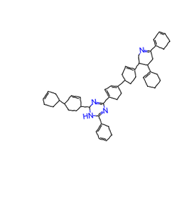 C1=CCCC(C2=NCC(C3=CCC(C4=CC=C(C5=NC(C6C=CC(C7CC=CCC7)CC6)NC(C6=CC=CCC6)=N5)CC4)CC3)C(C3=CCCCC3)C2)=C1